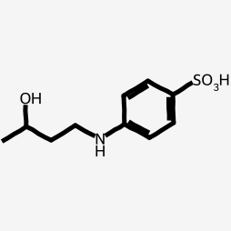 CC(O)CCNc1ccc(S(=O)(=O)O)cc1